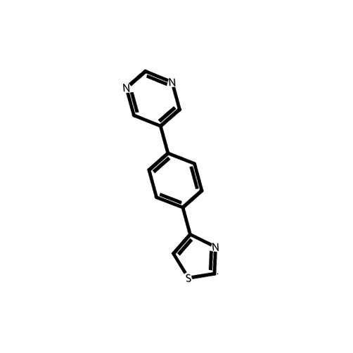 [c]1nc(-c2ccc(-c3cncnc3)cc2)cs1